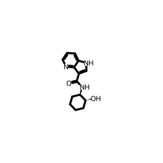 O=C(N[C@@H]1CCCC[C@H]1O)c1c[nH]c2cccnc12